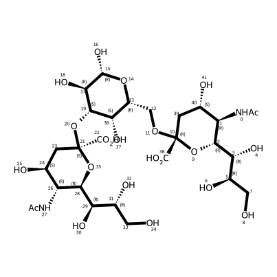 CC(=O)N[C@H]1[C@H]([C@H](O)[C@H](O)CO)O[C@@](OC[C@H]2O[C@@H](O)[C@H](O)[C@@H](O[C@]3(C(=O)O)C[C@H](O)[C@@H](NC(C)=O)[C@H]([C@H](O)[C@H](O)CO)O3)[C@H]2O)(C(=O)O)C[C@@H]1O